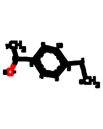 CCc1ccc(C(C)[O])cc1